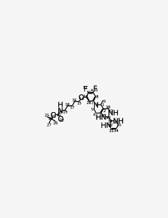 CC1C2=C(CCN1c1cc(F)c(F)c(OCCCCCNC(=O)OC(C)(C)C)c1)NC(C1NC=CCN1)NC2